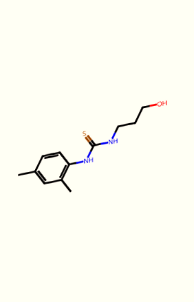 Cc1ccc(NC(=S)NCCCO)c(C)c1